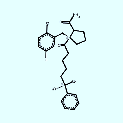 CC(C)[C@@](C#N)(CCCCC(=O)[N@@+]1(Cc2cc(Cl)ccc2Cl)CCCC1C(N)=O)c1ccccc1